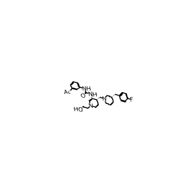 CC(=O)c1cccc(NC(=O)N[C@H]2CN(CCO)CC[C@H]2CN2CCC[C@@H](Cc3ccc(F)cc3)C2)c1